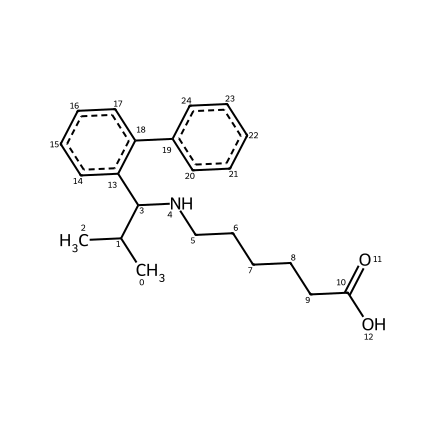 CC(C)C(NCCCCCC(=O)O)c1ccccc1-c1ccccc1